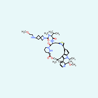 CCn1c(-c2cccnc2[C@H](C)OC)c2c3cc(ccc31)-c1csc(n1)C[C@H](NC(=O)C(C(C)C)N(C)C(=O)N1CC3(CC(NCCOC)C3)C1)C(=O)N1CCC[C@H](N1)C(=O)OCC(C)(C)C2